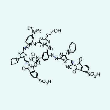 [C-]#[N+]/C(=C\c1sc(/N=N/c2ccc(N(CC)CC)cc2Nc2nc(Nc3cc(N(CC)CC)ccc3/N=N/c3nc(N4CCCCC4)c(/C=C(\C#N)N4C(=O)c5ccc(S(=O)(=O)O)cc5C4=O)s3)nc(SCCO)n2)nc1N1CCCCC1)N1C(=O)c2ccc(S(=O)(=O)O)cc2C1=O